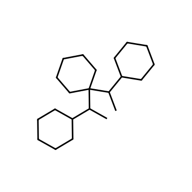 CC(C1CCCCC1)C1(C(C)C2CCCCC2)CCCCC1